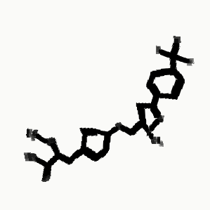 COC(Cc1ccc(OCc2cc(-c3ccc(C(F)(F)F)cc3)nn2C)cc1)C(=O)O